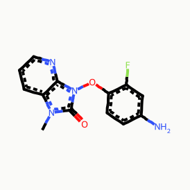 Cn1c(=O)n(Oc2ccc(N)cc2F)c2ncccc21